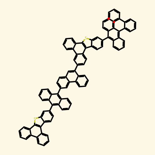 c1ccc(-c2ccccc2-c2c3ccccc3c(-c3ccc4c(c3)sc3c5ccccc5c5cc(-c6cc7ccc(-c8c9ccccc9c(-c9ccc%10c(c9)sc9c%11ccccc%11c%11ccccc%11c%109)c9ccccc89)cc7c7ccccc67)ccc5c43)c3ccccc23)cc1